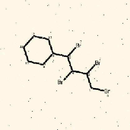 BrCC(Br)C(Br)C(Br)C1[CH]CC[CH]C1